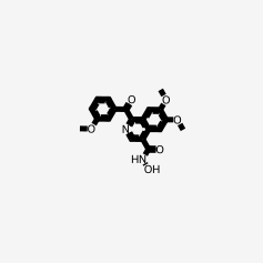 COc1cccc(C(=O)c2ncc(C(=O)NO)c3cc(OC)c(OC)cc23)c1